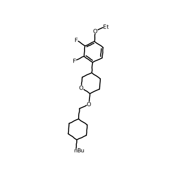 CCCCC1CCC(COC2CCC(c3ccc(OCC)c(F)c3F)CO2)CC1